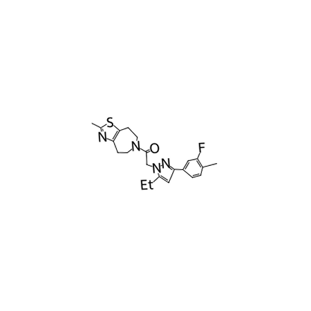 CCc1cc(-c2ccc(C)c(F)c2)nn1CC(=O)N1CCc2nc(C)sc2CC1